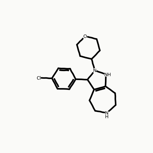 Clc1ccc(C2C3=C(CCNCC3)NN2C2CCOCC2)cc1